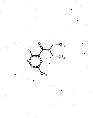 CCN(CC)C(=O)c1cc(C)cnc1F